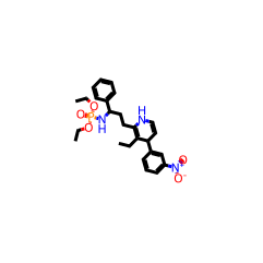 CCOP(=O)(NC(CCC1=C(CC)C(c2cccc([N+](=O)[O-])c2)C=CN1)c1ccccc1)OCC